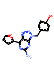 Nc1nc(-c2ccco2)c2nnn(Cc3ccc(O)cc3)c2n1